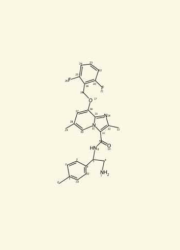 Cc1ccc(C(CN)NC(=O)c2c(C)nc3c(OCc4c(F)cccc4F)cc(C)cn23)cc1